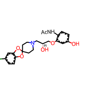 CC(=O)Nc1ccc(O)cc1OC[C@H](O)CN1CCC2(CC1)Oc1ccc(Cl)cc1O2